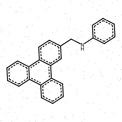 c1ccc(NCc2ccc3c4ccccc4c4ccccc4c3c2)cc1